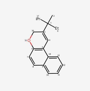 CCC(C)(C1=Cc2c(ccc3ccccc23)OC1)C(C)C